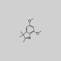 COc1cc(OC)c2c(c1)C(C)(C)C(C)=N2